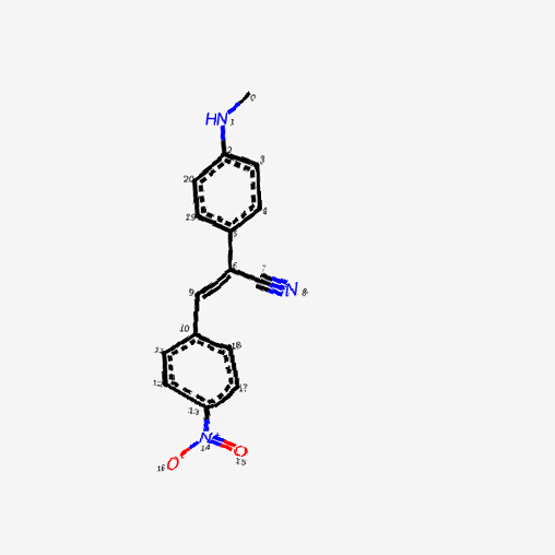 CNc1ccc(C(C#N)=Cc2ccc([N+](=O)[O-])cc2)cc1